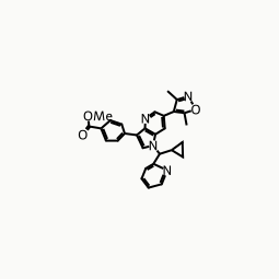 COC(=O)c1ccc(-c2cn(C(c3ccccn3)C3CC3)c3cc(-c4c(C)noc4C)cnc23)cc1